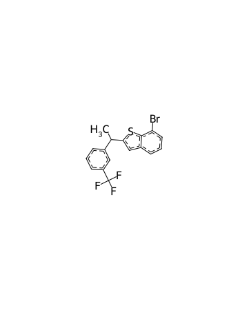 CC(c1cccc(C(F)(F)F)c1)c1cc2cccc(Br)c2s1